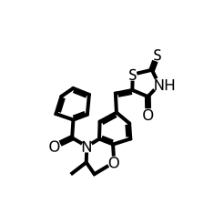 CC1COc2ccc(C=C3SC(=S)NC3=O)cc2N1C(=O)c1ccccc1